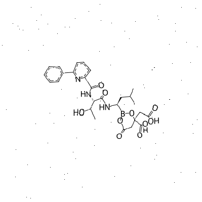 CC(C)C[C@H](NC(=O)[C@@H](NC(=O)c1cccc(-c2ccccc2)n1)C(C)O)B1OC(=O)CC(CC(=O)O)(C(=O)O)O1